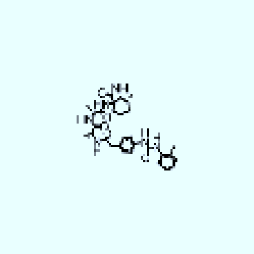 Cc1ccccc1NC(=O)Nc1ccc(CC(=O)N[C@@H](C)C(=O)N[C@@H](C)C(=O)NC2(C(N)=O)CCCCC2)cc1